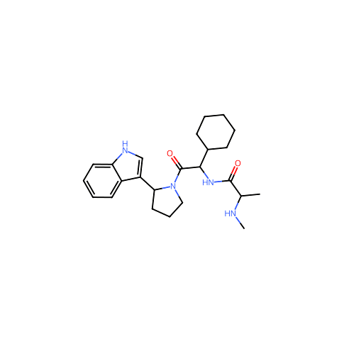 CNC(C)C(=O)NC(C(=O)N1CCCC1c1c[nH]c2ccccc12)C1CCCCC1